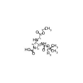 CCOC(=O)CN[C@H]1CN(C(=O)O)C[C@@H]1NC(=O)OC(C)(C)C